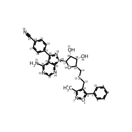 Cc1noc(-c2ccccc2)c1CSC[C@H]1O[C@@H](n2nc(-c3ccc(C#N)cc3)c3c(N)ncnc32)[C@H](O)[C@@H]1O